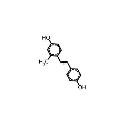 Cc1cc(O)ccc1/C=C/c1ccc(O)cc1